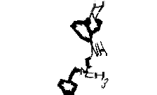 CN(CCNc1cccc2[nH]ccc12)Cc1ccccc1